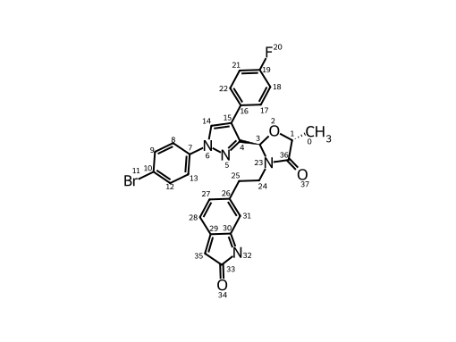 C[C@H]1O[C@H](c2nn(-c3ccc(Br)cc3)cc2-c2ccc(F)cc2)N(CCc2ccc3c(c2)=NC(=O)C=3)C1=O